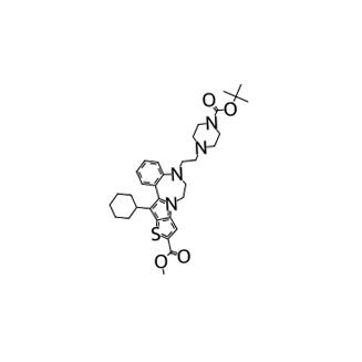 COC(=O)c1cc2c(s1)c(C1CCCCC1)c1n2CCN(CCN2CCN(C(=O)OC(C)(C)C)CC2)c2ccccc2-1